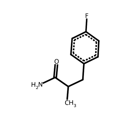 CC(Cc1ccc(F)cc1)C(N)=O